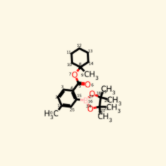 Cc1ccc(C(=O)OC2(C)CCCCC2)c(B2OC(C)(C)C(C)(C)O2)c1